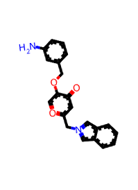 Nc1cccc(COc2coc(Cn3cc4ccccc4c3)cc2=O)c1